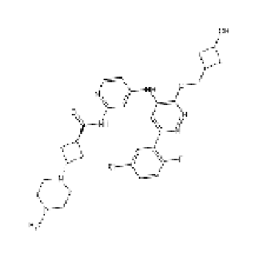 CN1CCN([C@H]2C[C@H](C(=O)Nc3cc(Nc4cc(-c5cc(Cl)ccc5F)nnc4OCC4CC(O)C4)ccn3)C2)CC1